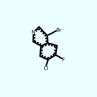 Fc1cc2c(Br)cncc2cc1Cl